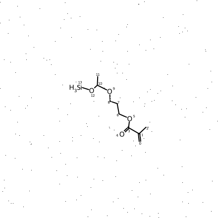 C=C(C)C(=O)OCCCOC(C)O[SiH3]